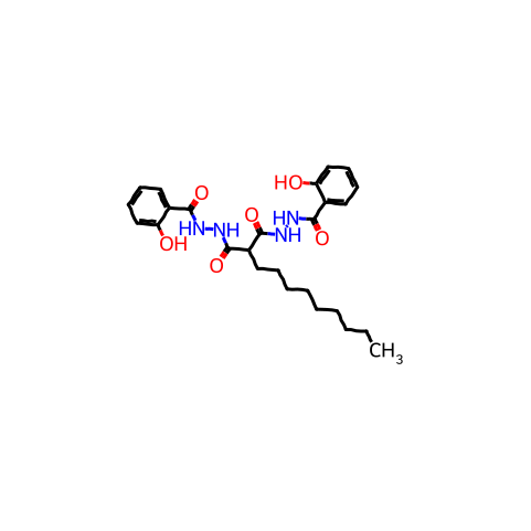 CCCCCCCCCC(C(=O)NNC(=O)c1ccccc1O)C(=O)NNC(=O)c1ccccc1O